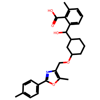 Cc1ccc(-c2nc(COC3CCCC(C(O)c4cccc(C)c4C(=O)O)C3)c(C)o2)cc1